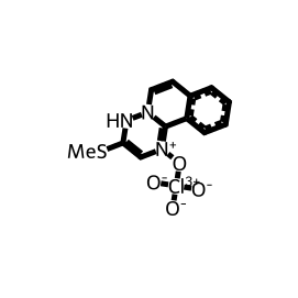 CSC1=C[N+](O[Cl+3]([O-])([O-])[O-])=C2c3ccccc3C=CN2N1